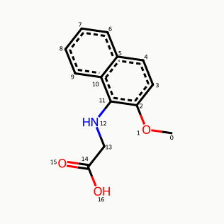 COc1ccc2ccccc2c1NCC(=O)O